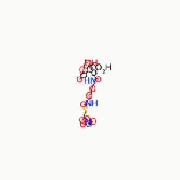 C=C(O)/C=c1/oc2cc(=O)ccc-2c(-c2cc(C(=O)NCCOCCOCCNC(=O)CSCCC(=O)ON3C(=O)CCC3=O)ccc2C(=O)O)/c1=C/C